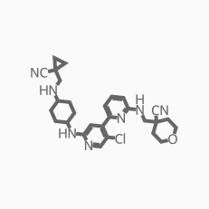 N#CC1(CNc2cccc(-c3cc(NC4CCC(NCC5(C#N)CC5)CC4)ncc3Cl)n2)CCOCC1